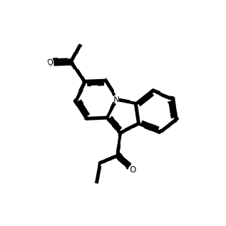 CCC(=O)c1c2ccccc2n2cc(C(C)=O)ccc12